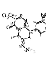 CC1C(=NN)CC(c2cccc([N+](=O)[O-])c2)c2ncc(C(=O)O)c(=O)n21